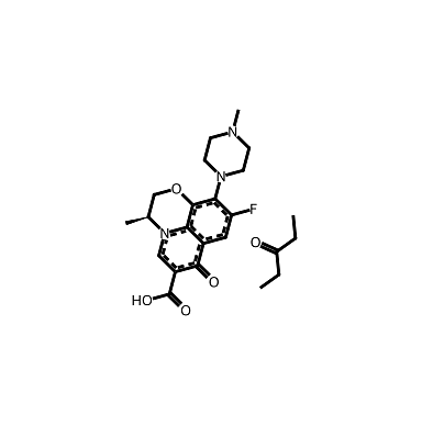 CCC(=O)CC.C[C@H]1COc2c(N3CCN(C)CC3)c(F)cc3c(=O)c(C(=O)O)cn1c23